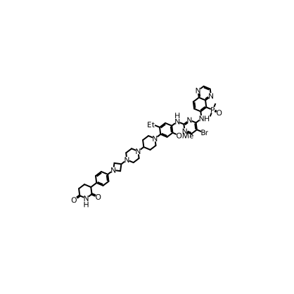 CCc1cc(Nc2ncc(Br)c(Nc3ccc4nccnc4c3P(C)(C)=O)n2)c(OC)cc1N1CCC(N2CCN(C3CN(c4ccc(C5CCC(=O)NC5=O)cc4)C3)CC2)CC1